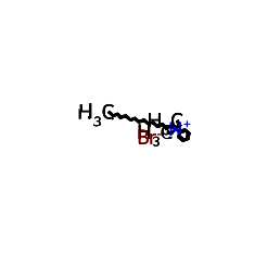 CCCCCCCCCCCCCCC[N+](CC)(CC)c1ccccc1.[Br-]